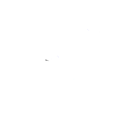 Cc1cc(OC(=O)N(C)C)cc(=O)n1[C@H](C)c1ccc(C#CC2CC2)c(F)c1